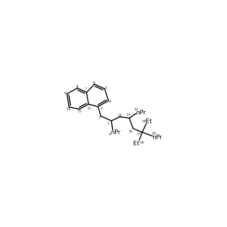 CCCC(Cc1cccc2ccccc12)CC(CCC)CC(CC)(CC)CCC